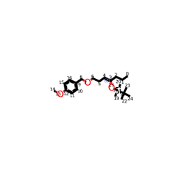 CCC/C(=C/CCOCc1ccc(OC)cc1)O[Si](C)(C)C(C)(C)C